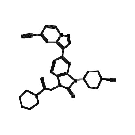 N#Cc1ccn2ncc(-c3ccc4c(n3)n([C@H]3CC[C@H](O)CC3)c(=O)n4CC(=O)N3CCCCC3)c2c1